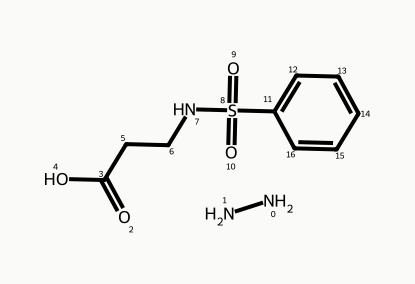 NN.O=C(O)CCNS(=O)(=O)c1ccccc1